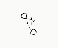 O=C(OCc1ccccc1)N(C(=O)C(F)(F)F)c1ccccc1